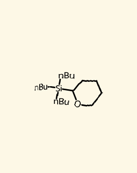 CCCC[Si](CCCC)(CCCC)C1CCCCO1